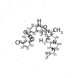 Cc1[nH]c(/C=C2\C(=O)Nc3ccc(S(=O)(=O)Cc4c(Cl)cccc4Cl)cc32)c(C)c1CN1CCN(CC2CC2)CC1